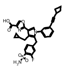 NS(=O)(=O)c1ccc(Cc2c(CC3CC3)c(-c3nc(C(=O)O)co3)cn2-c2cccc(C#CC3CCC3)c2)cc1F